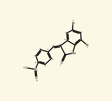 O=C1Nc2c(Br)cc(Br)cc2C1=Cc1ccc([N+](=O)[O-])cc1